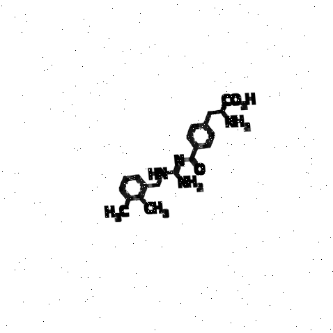 Cc1cccc(CN/C(N)=N/C(=O)c2ccc(C[C@H](N)C(=O)O)cc2)c1C